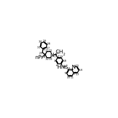 C=C(c1ccc(NSc2cccc3cccnc23)cc1)N1CCC(CCC)(Cc2ccccc2)CC1